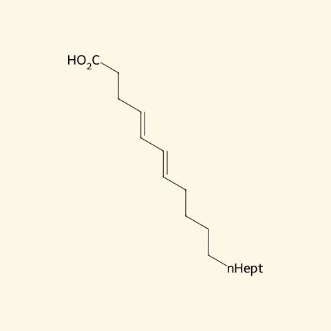 CCCCCCCCCCCC=CC=CCCC(=O)O